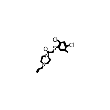 C=CCN1CCN(C(=O)CSc2cc(C)c(Cl)cc2Cl)CC1